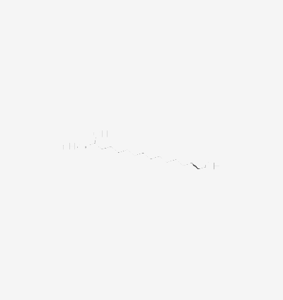 CCCCCCC(O)CCCCCCCCCCCC=CO